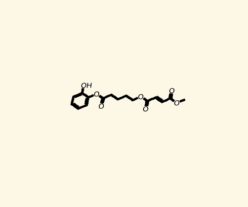 COC(=O)/C=C/C(=O)OCCCCC(=O)Oc1ccccc1O